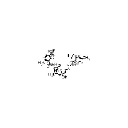 CCCC(O)(CCCCNCc1ccc(C)cc1C)CNC(=O)CNC(=O)c1cc(C(F)(F)F)ccc1N